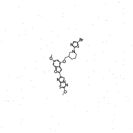 COc1cc(OCC2CCCN(c3ncc(Br)s3)C2)c2cc(-c3cn4nc(OC)sc4n3)oc2c1